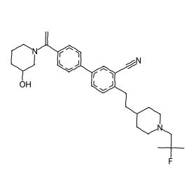 C=C(c1ccc(-c2ccc(CCC3CCN(CC(C)(C)F)CC3)c(C#N)c2)cc1)N1CCCC(O)C1